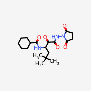 CC(C)(C)CC(NC(=O)C1CCCCC1)C(=O)C(=O)NN1C(=O)CCC1=O